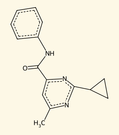 Cc1cc(C(=O)Nc2ccccc2)nc(C2CC2)n1